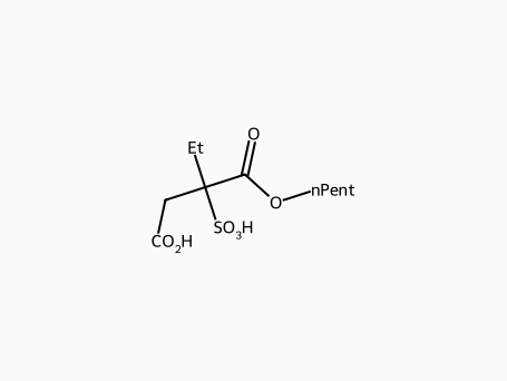 CCCCCOC(=O)C(CC)(CC(=O)O)S(=O)(=O)O